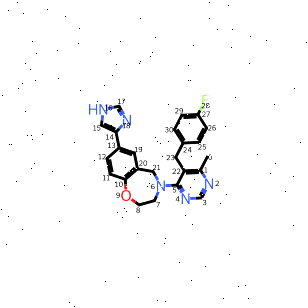 Cc1ncnc(N2CCOc3ccc(-c4c[nH]cn4)cc3C2)c1Cc1ccc(F)cc1